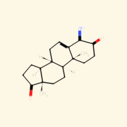 C[C@]12CCC(=O)C(=N)C1=CC[C@@H]1[C@@H]2CC[C@]2(C)C(=O)CC[C@@H]12